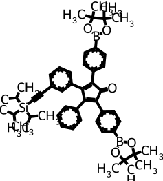 CC(C)[Si](C#Cc1cccc(C2=C(c3ccc(B4OC(C)(C)C(C)(C)O4)cc3)C(=O)C(c3ccc(B4OC(C)(C)C(C)(C)O4)cc3)=C2c2ccccc2)c1)(C(C)C)C(C)C